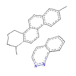 Cc1ccc2c(ccc3c4c(ccc32)C(C)CCC4)c1.c1ccc2nnccc2c1